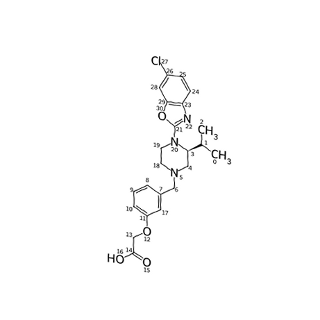 CC(C)[C@H]1CN(Cc2cccc(OCC(=O)O)c2)CCN1c1nc2ccc(Cl)cc2o1